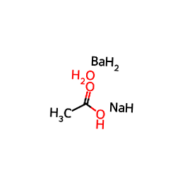 CC(=O)O.O.[BaH2].[NaH]